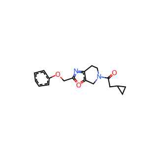 O=C(CC1CC1)N1CCc2nc(COc3ccccc3)oc2C1